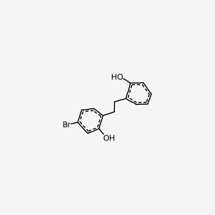 Oc1ccccc1CCc1ccc(Br)cc1O